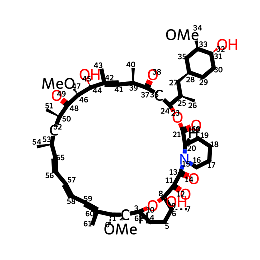 CO[C@H]1C[C@@H]2CC[C@@H](C)[C@@](O)(O2)C(=O)C(=O)N2CCCC[C@H]2C(=O)OC([C@H](C)C[C@@H]2CC[C@@H](O)[C@H](OC)C2)CC(=O)[C@H](C)/C=C(\C)[C@@H](O)[C@@H](OC)C(=O)[C@H](C)C[C@H](C)/C=C/C=C/C=C/1C